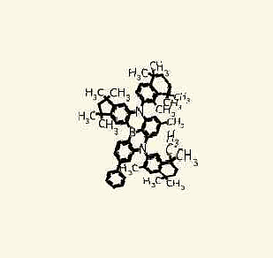 Cc1cc2c3c(c1)N(c1ccc4c(c1C)C(C)(C)CCC4(C)C)c1cc4c(cc1B3c1ccc(-c3ccccc3)cc1N2c1cc2c(cc1C)C(C)(C)CCC2(C)C)C(C)(C)CC4(C)C